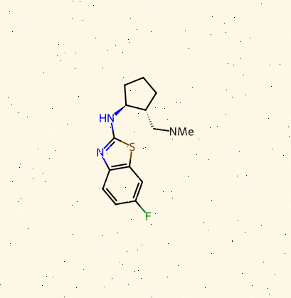 CNC[C@H]1CCC[C@@H]1Nc1nc2ccc(F)cc2s1